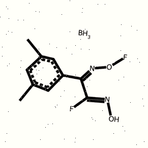 B.Cc1cc(C)cc(C(=NOF)C(F)=NO)c1